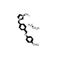 CC(=O)O.CN1C=CN(CC2=CCC(=COc3ccc(C=O)cc3)C=C2)C1